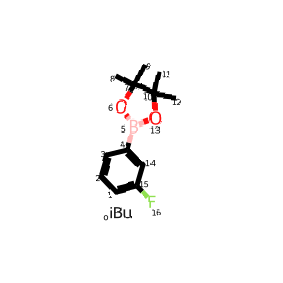 CC[C@H](C)c1ccc(B2OC(C)(C)C(C)(C)O2)cc1F